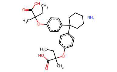 CCC(C)(Oc1ccc(C2(c3ccc(OC(C)(CC)C(=O)O)cc3)CCCCC2)cc1)C(=O)O.N